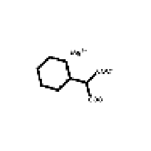 O=C([O-])C(C(=O)[O-])C1CCCCC1.[Mg+2]